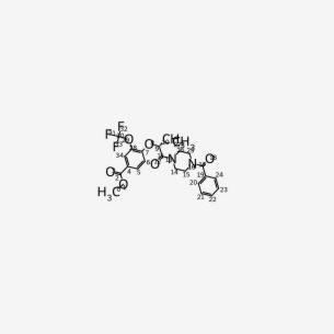 COC(=O)c1ccc(O[C@@H](C)C(=O)N2CCN(C(=O)c3ccccc3)C[C@H]2C)c(OC(F)(F)F)c1